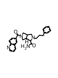 NC(=O)C1[C@@H]2CN(C(=O)c3ccc4ncccc4c3)CC2CN1CC[CH]c1ccccc1